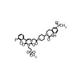 C[S+]([O-])c1ccc2c(c1)CCN(C1CCN(C(=O)Cn3cc(-c4cccc(F)c4Cl)c(=O)n(CCS(C)(=O)=O)c3=O)CC1)C(=O)N2